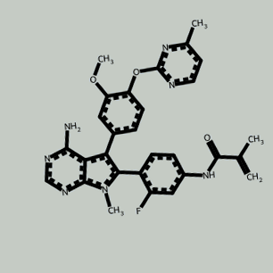 C=C(C)C(=O)Nc1ccc(-c2c(-c3ccc(Oc4nccc(C)n4)c(OC)c3)c3c(N)ncnc3n2C)c(F)c1